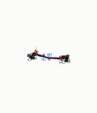 CN(C)[C@H]1Cc2c(Cl)cc(Cl)cc2[C@@H]1Oc1ccc(N(CCCCCCCCNC(=O)NCCCCNC(=O)NCCCCCCCCNS(=O)(=O)c2ccc(O[C@H]3c4cc(Cl)cc(Cl)c4C[C@@H]3N(C)C)cc2)[SH](=O)=O)cc1